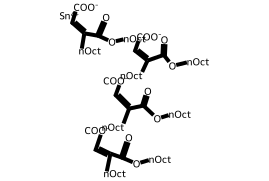 CCCCCCCCOC(=O)/C(=C\C(=O)[O-])CCCCCCCC.CCCCCCCCOC(=O)/C(=C\C(=O)[O-])CCCCCCCC.CCCCCCCCOC(=O)/C(=C\C(=O)[O-])CCCCCCCC.CCCCCCCCOC(=O)/C(=C\C(=O)[O-])CCCCCCCC.[Sn+4]